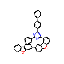 C1=Cc2c(oc3cc(-c4ccc5oc6cccc(-c7nc(-c8ccccc8)nc(-c8ccc(-c9ccccc9)cc8)n7)c6c5c4)ccc23)CC1